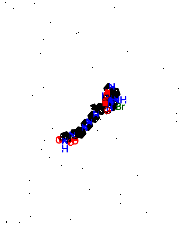 CCc1cc(Nc2ncc(Br)c(Nc3ccc4nccnc4c3NS(C)(=O)=O)n2)c(OC)cc1N1CCC(N2CCN(c3ccc4c(c3)CN([C@H]3CCC(=O)NC3=O)C4=O)CC2)CC1